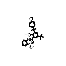 CC(C)(C)c1cc(N=Nc2ccccc2[N+](=O)[O-])c(O)c(C(C)(C)c2ccc(Cl)cc2)c1